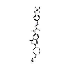 Cc1cc(N2CCCN(CCO)CC2)nc2ccc(NC(=O)/C=C/c3ccc(OC(F)(F)F)cc3)cc12